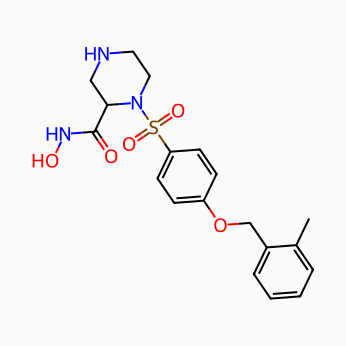 Cc1ccccc1COc1ccc(S(=O)(=O)N2CCNCC2C(=O)NO)cc1